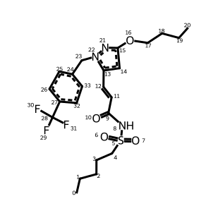 CCCCCS(=O)(=O)NC(=O)/C=C/c1cc(OCCCC)nn1Cc1ccc(C(F)(F)F)cc1